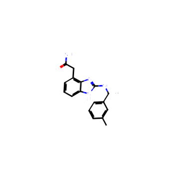 Cc1cccc([C@@H](C)Nc2nc3c(CC(N)=O)cccc3[nH]2)c1